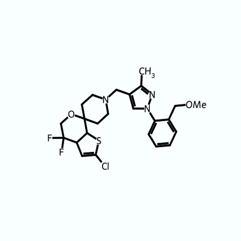 COCc1ccccc1-n1cc(CN2CCC3(CC2)OCC(F)(F)C2C=C(Cl)SC23)c(C)n1